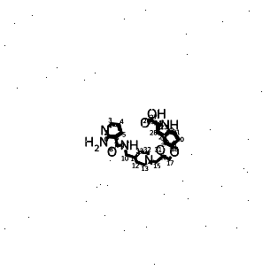 Nc1ncccc1C(=O)NCC1CCN(CC2COc3ccc4[nH]c(C(=O)O)cc4c3O2)CC1